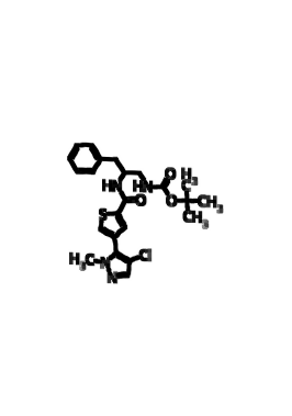 Cn1ncc(Cl)c1-c1csc(C(=O)NC(CNC(=O)OC(C)(C)C)Cc2ccccc2)c1